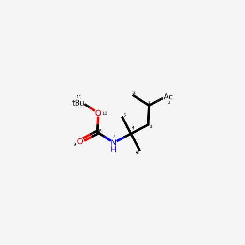 CC(=O)C(C)CC(C)(C)NC(=O)OC(C)(C)C